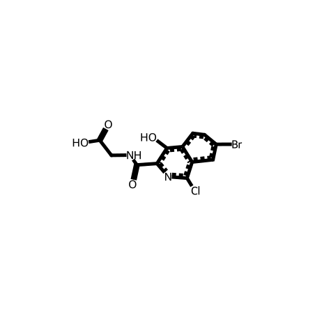 O=C(O)CNC(=O)c1nc(Cl)c2cc(Br)ccc2c1O